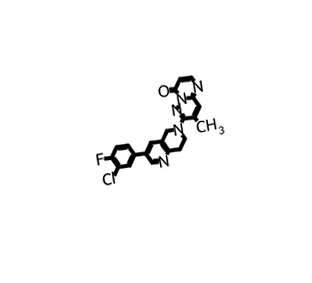 Cc1cc2nccc(=O)n2nc1N1CCc2ncc(-c3ccc(F)c(Cl)c3)cc2C1